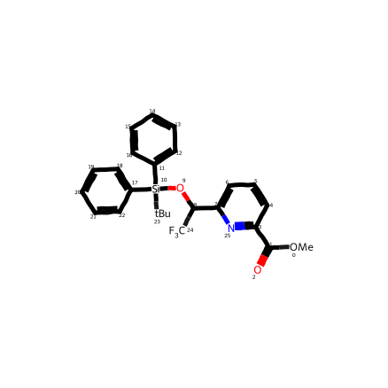 COC(=O)c1cccc(C(O[Si](c2ccccc2)(c2ccccc2)C(C)(C)C)C(F)(F)F)n1